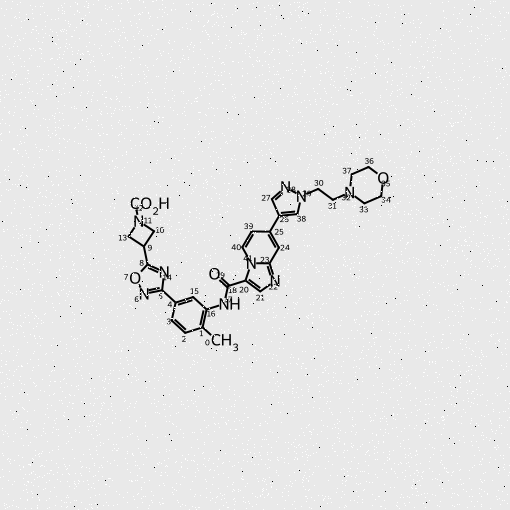 Cc1ccc(-c2noc(C3CN(C(=O)O)C3)n2)cc1NC(=O)c1cnc2cc(-c3cnn(CCN4CCOCC4)c3)ccn12